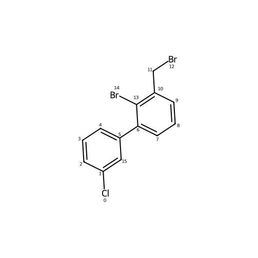 Clc1cccc(-c2cccc(CBr)c2Br)c1